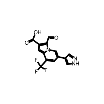 O=Cc1c(C(=O)O)cc2c(C(F)(F)F)cc(-c3cn[nH]c3)cn12